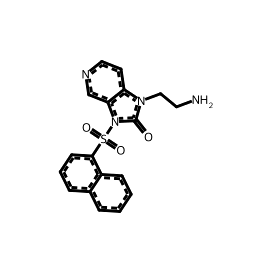 NCCn1c(=O)n(S(=O)(=O)c2cccc3ccccc23)c2cnccc21